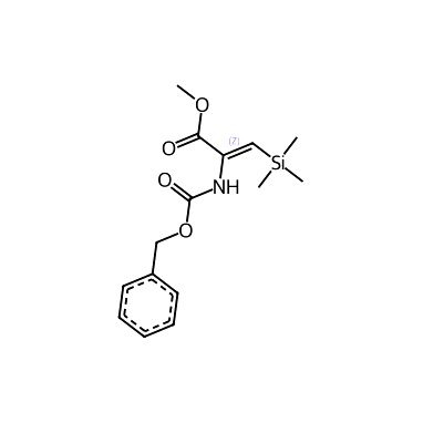 COC(=O)/C(=C/[Si](C)(C)C)NC(=O)OCc1ccccc1